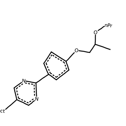 CCCCCCCCc1cnc(-c2ccc(OCC(C)OCCC)cc2)nc1